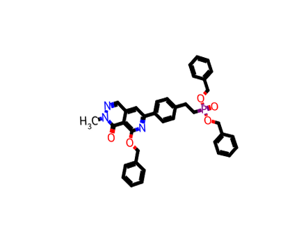 Cn1ncc2cc(-c3ccc(CCP(=O)(OCc4ccccc4)OCc4ccccc4)cc3)nc(OCc3ccccc3)c2c1=O